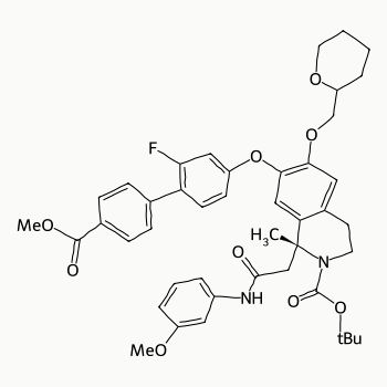 COC(=O)c1ccc(-c2ccc(Oc3cc4c(cc3OCC3CCCCO3)CCN(C(=O)OC(C)(C)C)[C@]4(C)CC(=O)Nc3cccc(OC)c3)cc2F)cc1